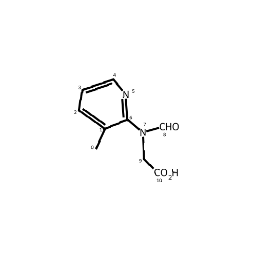 Cc1cccnc1N(C=O)CC(=O)O